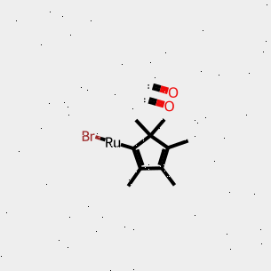 CC1=C(C)C(C)(C)[C]([Ru][Br])=C1C.[C]=O.[C]=O